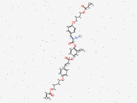 [C-]#[N+]/C(=C\c1ccc(OCCCCOC(=O)C=C)cc1)C(=O)Oc1ccc(OC(=O)/C=C/c2ccc(OCCCCOC(=O)C=C)cc2)cc1C